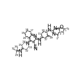 Cc1cc2c(C)nc(Nc3ccc(Nc4nc5ccccc5c(N5CCC(NC(C)(C)C)CC5)c4C#N)cc3C)nc2o1